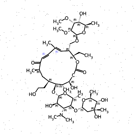 CC[C@H]1OC(=O)C[C@@H](O)[C@H](C)[C@@H](O[C@@H]2O[C@H](C)[C@@H](O[C@H]3C[C@@](C)(O)[C@@H](O)[C@H](C)O3)[C@H](N(C)C)[C@H]2O)[C@@H](CCO)C[C@@H](C)C(=O)/C=C/C(C)=C/[C@@H]1CO[C@@H]1O[C@H](C)[C@@H](O)[C@@H](OC)[C@H]1OC